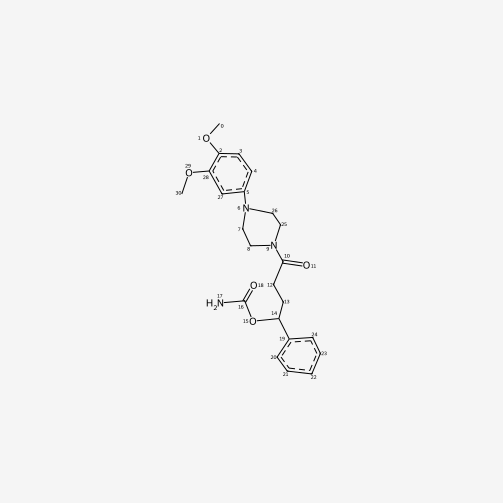 COc1ccc(N2CCN(C(=O)CCC(OC(N)=O)c3ccccc3)CC2)cc1OC